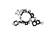 C[C@@H]1[C@@H](C)CCC[C@](O)(CCN2CCOCC2)[C@@H]2CC[C@H]2CN2C[C@@]3(CCCc4cc(Cl)ccc43)COc3ccc(cc32)C(=O)NS1(=O)=O